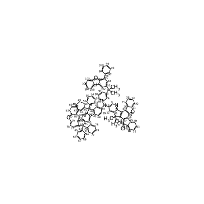 CC1(C)c2cc(N(c3cnc4c(c3)C(C)(C)c3c5c(c6oc7ccccc7c6c3-4)-c3ccccc3C5(C)C)c3ccc4c(c3)C(C3=CC=CCC3)(c3ccccc3)c3cc5c(cc3-4)C(c3ccccc3)(c3ccccc3)C3=C/C=C/OC4CC=CC=C4\C=C\35)ccc2-c2c1cc(-c1ccccc1)c1oc3ccccc3c21